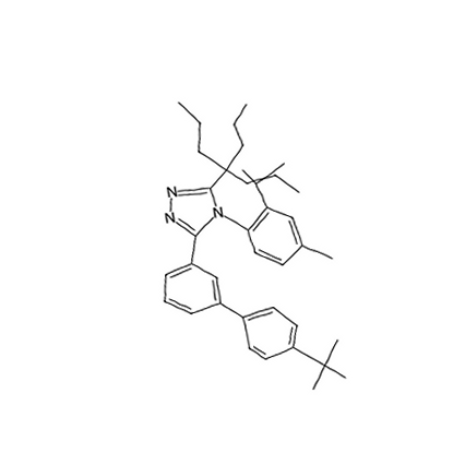 CCCC(CCC)(CCC)c1nnc(-c2cccc(-c3ccc(C(C)(C)C)cc3)c2)n1-c1ccc(C)cc1C(C)C